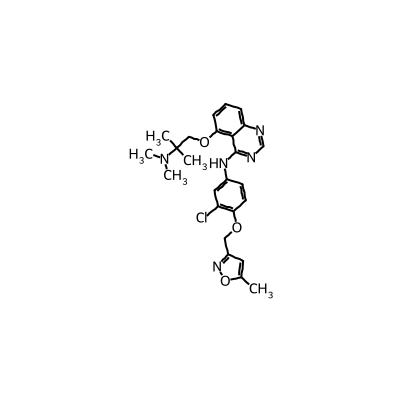 Cc1cc(COc2ccc(Nc3ncnc4cccc(OCC(C)(C)N(C)C)c34)cc2Cl)no1